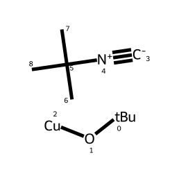 CC(C)(C)[O][Cu].[C-]#[N+]C(C)(C)C